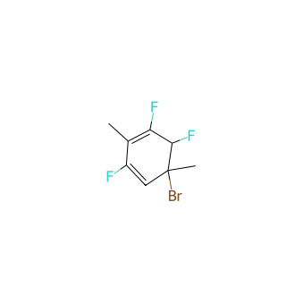 CC1=C(F)C(F)C(C)(Br)C=C1F